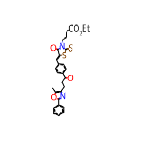 CCOC(=O)CCCN1C(=O)C(=Cc2ccc(C(=O)CCc3nc(-c4ccccc4)oc3C)cc2)SC1=S